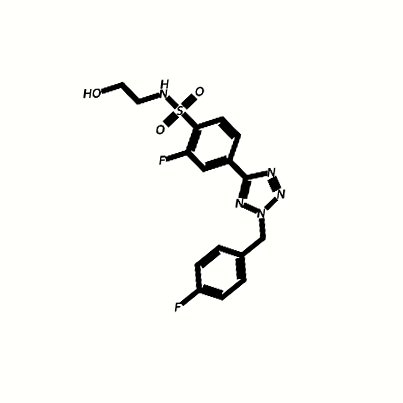 O=S(=O)(NCCO)c1ccc(-c2nnn(Cc3ccc(F)cc3)n2)cc1F